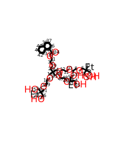 CCC(CO)(CO)COCCOCCOCC(COCCOCC(CC)(CO)CO)(COCCOC(=O)c1cccc2ccccc12)COCCOC(CC)(CO)CO